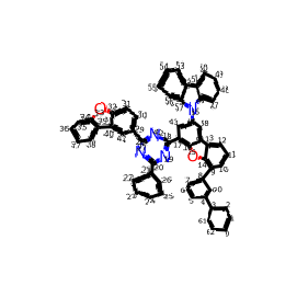 c1ccc(-c2cccc(-c3cccc4c3oc3c(-c5nc(-c6ccccc6)nc(-c6ccc7oc8ccccc8c7c6)n5)cc(-n5c6ccccc6c6ccccc65)cc34)c2)cc1